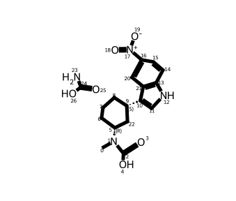 CN(C(=O)O)[C@@H]1CCC[C@H](c2c[nH]c3ccc([N+](=O)[O-])cc23)C1.NC(=O)O